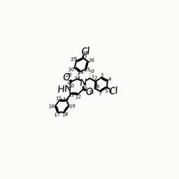 C[C@H](c1ccc(Cl)cc1)N1C(=O)C=C(c2ccccc2)NC(=O)[C@@H]1c1ccc(Cl)cc1